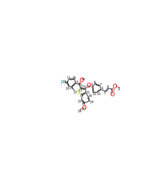 COC(=O)/C=C/c1ccc(Oc2c(C(=O)c3ccc(F)cc3C)sc3cc(OC)ccc23)cc1